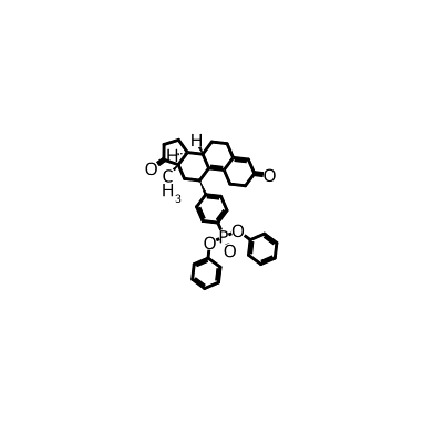 C[C@]12C[C@H](c3ccc(P(=O)(Oc4ccccc4)Oc4ccccc4)cc3)C3=C4CCC(=O)C=C4CC[C@H]3[C@@H]1CCC2=O